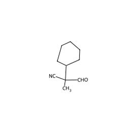 CC(C#N)(C=O)C1CCCCC1